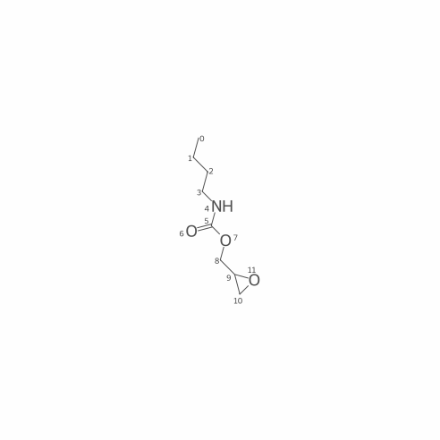 CCCCNC(=O)OCC1CO1